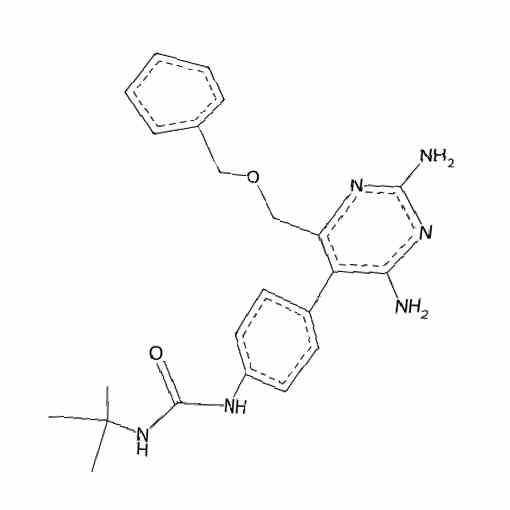 CC(C)(C)NC(=O)Nc1ccc(-c2c(N)nc(N)nc2COCc2ccccc2)cc1